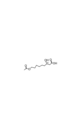 CC(=O)OCCCCCC[C@@H](O)CC(=O)O